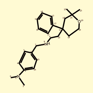 CN(C)c1ccc(CNCCC2(c3ccccc3)CCOC(C)(C)C2)cc1